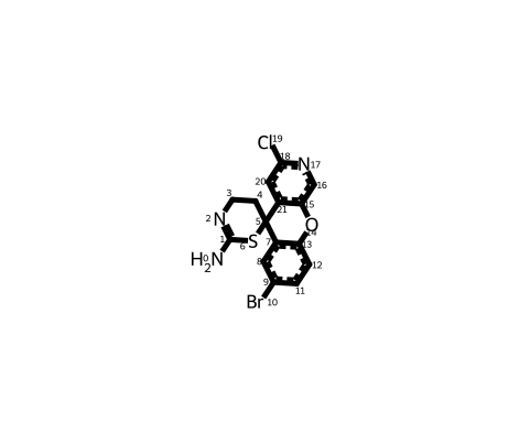 NC1=NCCC2(S1)c1cc(Br)ccc1Oc1cnc(Cl)cc12